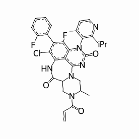 C=CC(=O)N1CC2C(=O)Nc3c(Cl)c(-c4ccccc4F)c(F)c4c3c(nc(=O)n4-c3c(C)ccnc3C(C)C)N2CC1C